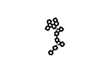 c1ccc(-c2ccc(-n3c4ccccc4c4cc(-c5ccc6c(c5)c5ccccc5n6-c5cc6c7ccccc7c7ccccc7c6c6c5ccc5ccccc56)ccc43)cc2)cc1